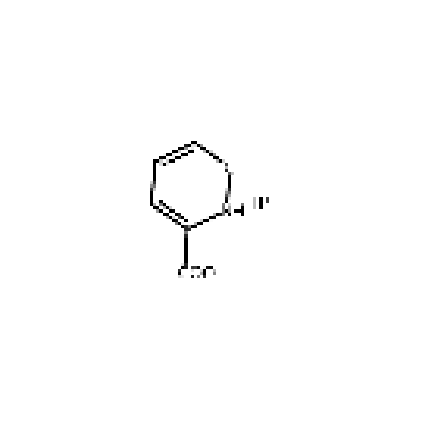 O=C([O-])C1=CC=CON1.[Li+]